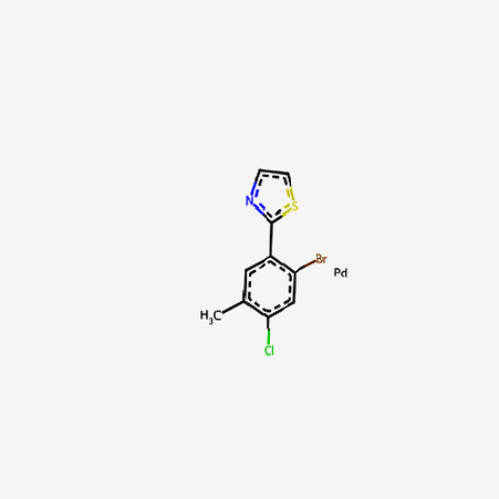 Cc1cc(-c2nccs2)c(Br)cc1Cl.[Pd]